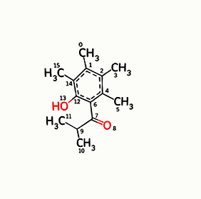 Cc1c(C)c(C)c(C(=O)C(C)C)c(O)c1C